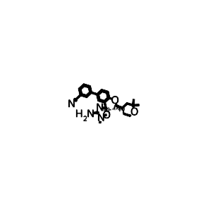 CN1O[C@@]2(C[C@@H]([C@@H]3CCOC(C)(C)C3)Oc3ccc(-c4cccc(C#N)c4)cc32)N=C1N